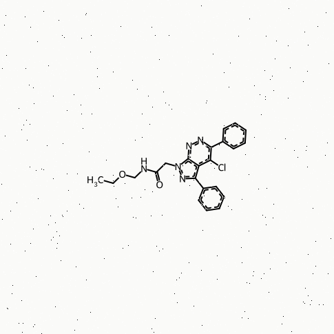 CCOCNC(=O)Cn1nc(-c2ccccc2)c2c(Cl)c(-c3ccccc3)nnc21